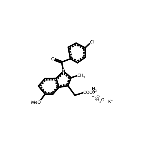 COc1ccc2c(c1)c(CC(=O)[O-])c(C)n2C(=O)c1ccc(Cl)cc1.O.O.O.[K+]